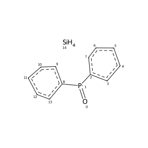 O=[P](c1ccccc1)c1ccccc1.[SiH4]